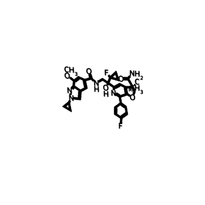 COc1cc(C(=O)NCC(O)(c2cc3c(c(-c4ccc(F)cc4)n2)OC[C@]3(C)C(N)=O)C2(F)CC2)cc2cn(C3CC3)nc12